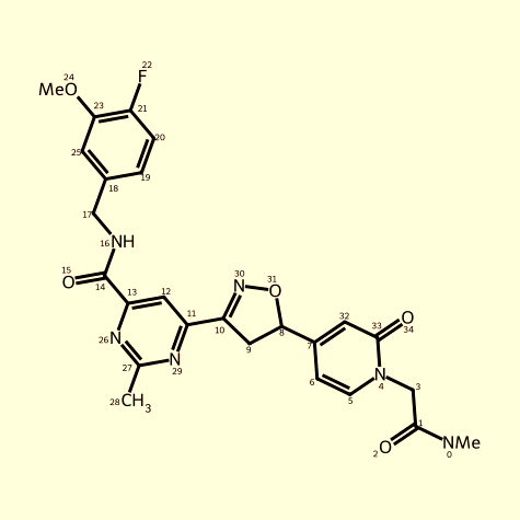 CNC(=O)Cn1ccc(C2CC(c3cc(C(=O)NCc4ccc(F)c(OC)c4)nc(C)n3)=NO2)cc1=O